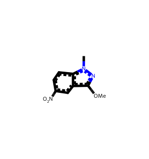 COc1nn(C)c2ccc([N+](=O)[O-])cc12